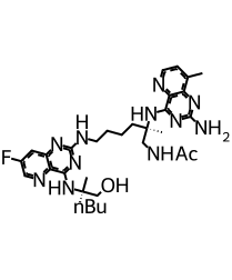 CCCC[C@](C)(CO)Nc1nc(NCCCC[C@](C)(CNC(C)=O)Nc2nc(N)nc3c(C)ccnc23)nc2cc(F)cnc12